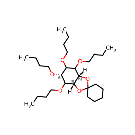 CCCCOC1C(OCCCC)[C@@H]2OC3(CCCCC3)O[C@@H]2C(OCCCC)[C@@H]1OCCCC